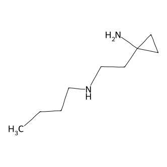 CCCCNCCC1(N)CC1